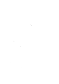 C1=CC2=Cc3c(n(-c4ccc(-c5nc6ccc7sc8cc(-c9ccccc9)ccc8c7c6o5)cc4)c4ccc5ccccc5c34)CC2C=C1